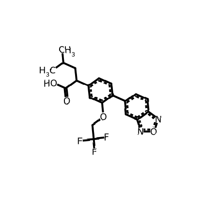 CC(C)CC(C(=O)O)c1ccc(-c2ccc3nonc3c2)c(OCC(F)(F)F)c1